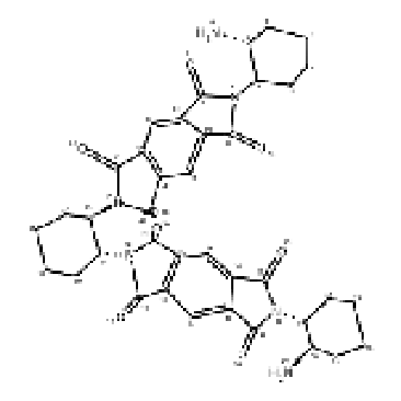 N[C@@H]1CCCCC1n1c(=O)c2cc3c(=O)n([C@@H]4CCCC[C@H]4n4c(=O)c5cc6c(=O)n([C@@H]7CCCC[C@H]7N)c(=O)c6cc5c4=O)c(=O)c3cc2c1=O